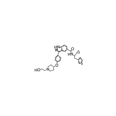 O=C(NC(Cc1ccsc1)C1CC1)c1ccc2[nH]nc(-c3ccc(OC4CCN(CCO)CC4)cc3)c2c1